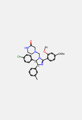 COc1ccc(C2=N[C@@H](c3cccc(C)c3)[C@@H](c3ccc(Cl)cc3)N2CN2CCNC(=O)C2)c(OC(C)C)c1